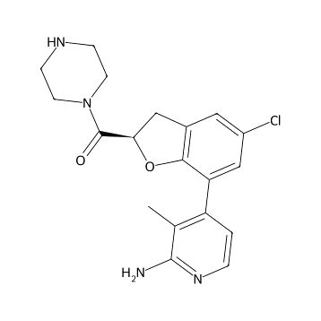 Cc1c(-c2cc(Cl)cc3c2O[C@@H](C(=O)N2CCNCC2)C3)ccnc1N